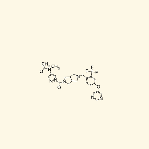 CC(=O)N(C)c1cnn(C(=O)N2CC3CN(Cc4ccc(Oc5cncnc5)cc4C(F)(F)F)CC3C2)c1